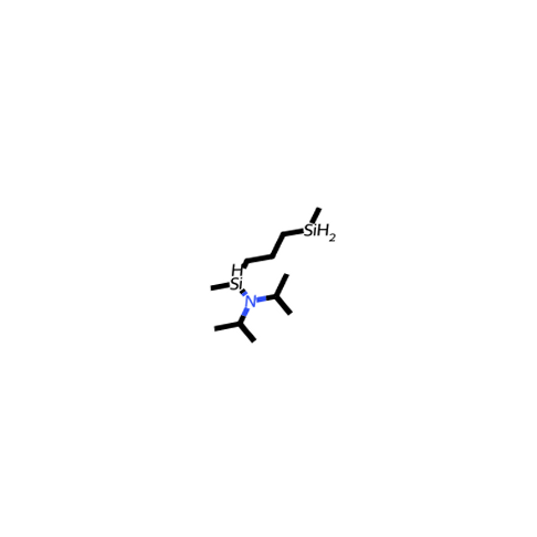 C[SiH2]CCC[SiH](C)N(C(C)C)C(C)C